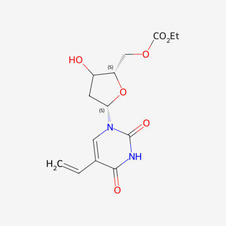 C=Cc1cn([C@@H]2CC(O)[C@H](COC(=O)OCC)O2)c(=O)[nH]c1=O